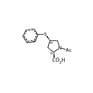 CC(=O)N1C[C@H](Sc2ccccc2)C[C@@H]1C(=O)O